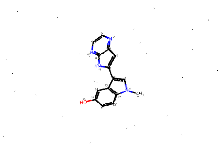 Cn1cc(-c2cc3nccnc3[nH]2)c2cc(O)ccc21